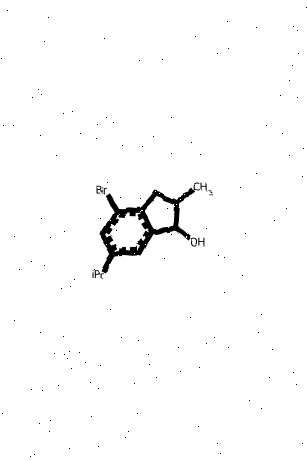 CC(C)c1cc(Br)c2c(c1)C(O)C(C)C2